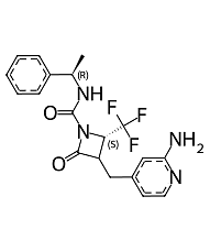 C[C@@H](NC(=O)N1C(=O)C(Cc2ccnc(N)c2)[C@H]1C(F)(F)F)c1ccccc1